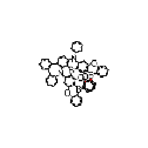 c1ccc(N2c3cc4c5c(c3B3c6c(cc7c8c6Oc6ccccc6B8c6ccccc6O7)N6c7ccccc7-c7ccccc7-c7ccc2c3c76)Oc2ccccc2B5c2ccccc2O4)cc1